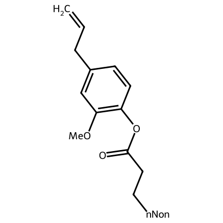 C=CCc1ccc(OC(=O)CCCCCCCCCCC)c(OC)c1